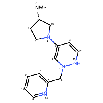 CN[C@H]1CCN(C2=CN(Cc3ccccn3)NC=C2)C1